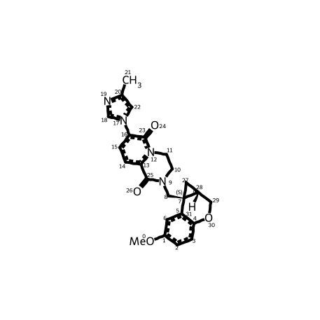 COc1ccc2c(c1)[C@]1(CN3CCn4c(ccc(-n5cnc(C)c5)c4=O)C3=O)C[C@@H]1CO2